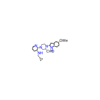 COc1ccc2[nH]c(N3CCN(c4ncccc4NCC4CC4)CC3C=O)cc2c1